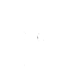 CCC(C(=O)N[C@@H]1Cc2ccccc2[C@H]1NC(=O)O)c1ccc(F)cc1